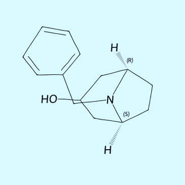 OC1C[C@H]2CC[C@@H](C1)N2Cc1ccccc1